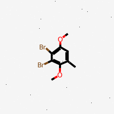 COc1cc(C)c(OC)c(Br)c1Br